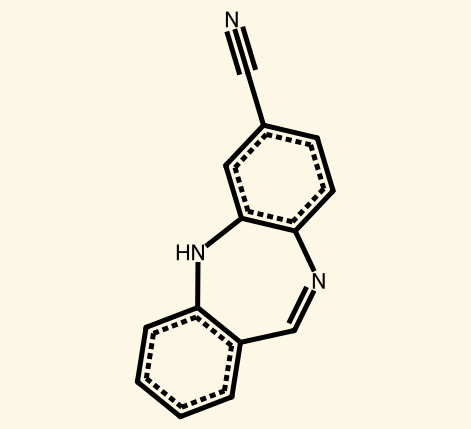 N#Cc1ccc2c(c1)Nc1ccccc1C=N2